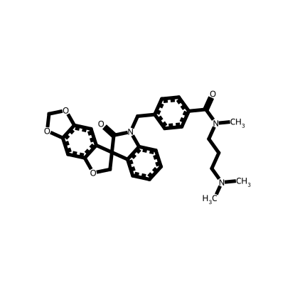 CN(C)CCCN(C)C(=O)c1ccc(CN2C(=O)C3(COc4cc5c(cc43)OCO5)c3ccccc32)cc1